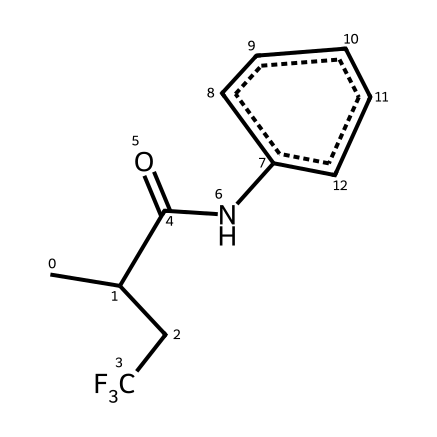 CC(CC(F)(F)F)C(=O)Nc1ccccc1